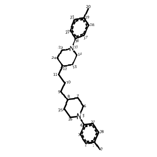 Cc1ccc(N2CCC(CCCC3CCN(c4ccc(C)cc4)CC3)CC2)cc1